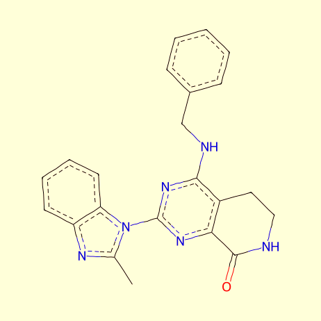 Cc1nc2ccccc2n1-c1nc(NCc2ccccc2)c2c(n1)C(=O)NCC2